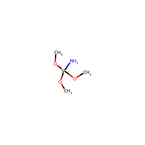 CO[Si](N)(OC)OC